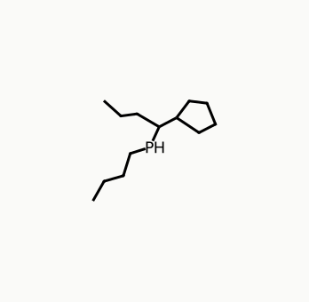 CCCCPC(CCC)C1CCCC1